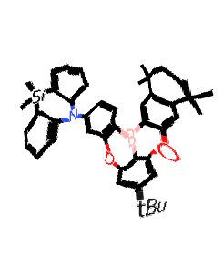 CC(C)(C)c1cc2c3c(c1)Oc1cc4c(cc1B3c1ccc(N3c5ccccc5[Si](C)(C)c5ccccc53)cc1O2)C(C)(C)CCC4(C)C